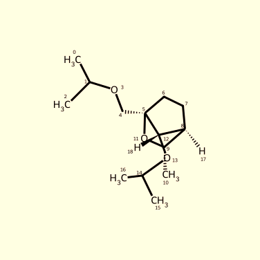 CC(C)OC[C@@]12CC[C@@H]([C@H](C)O1)[C@@H]2OC(C)C